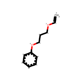 C=COCCCOc1ccccc1